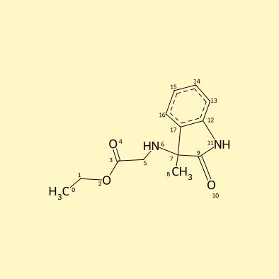 CCOC(=O)CNC1(C)C(=O)Nc2ccccc21